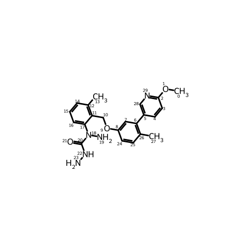 COc1ccc(-c2cc(OCc3c(C)cccc3N(N)C(=O)NN)ccc2C)cn1